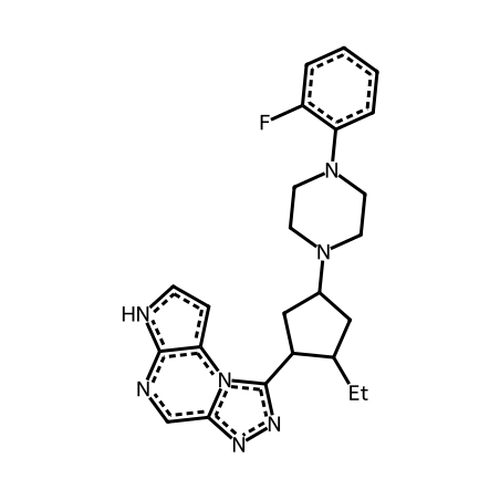 CCC1CC(N2CCN(c3ccccc3F)CC2)CC1c1nnc2cnc3[nH]ccc3n12